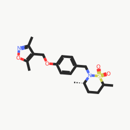 Cc1noc(C)c1COc1ccc(CN2[C@@H](C)CCC(C)S2(=O)=O)cc1